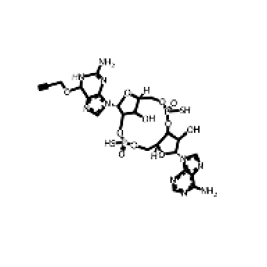 C#CCOC1NC(N)=Nc2c1ncn2[C@@H]1O[C@@H]2COP(=O)(S)OC3C(O)[C@H](n4cnc5c(N)ncnc54)O[C@@H]3COP(=O)(S)OC1C2O